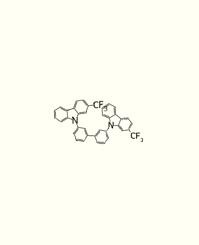 FC(F)(F)c1ccc2c3ccccc3n(-c3cccc(-c4cccc(-n5c6ccccc6c6ccc(C(F)(F)F)cc65)c4)c3)c2c1